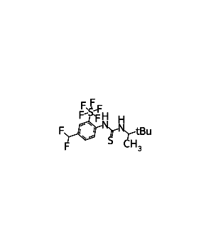 CC(NC(=S)Nc1ccc(C(F)F)cc1S(F)(F)(F)(F)F)C(C)(C)C